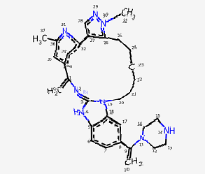 C=C1/N=C2\Nc3ccc(C(=C)N4CCNCC4)cc3N2CCCCCCc2c(cnn2C)-c2cc1cc(C)n2